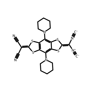 [C-]#[N+]C([N+]#[C-])=C1Sc2c(c(N3CCCCC3)c3c(c2N2CCCCC2)SC(=C(C#N)C#N)S3)S1